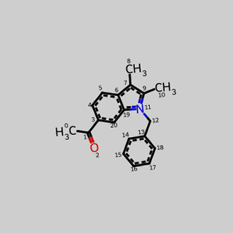 CC(=O)c1ccc2c(C)c(C)n(Cc3ccccc3)c2c1